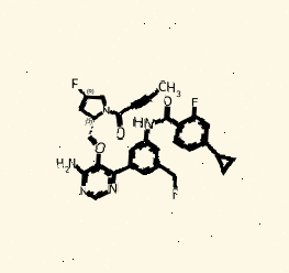 CC#CC(=O)N1C[C@H](F)C[C@H]1COc1c(N)ncnc1-c1cc(CF)cc(NC(=O)c2ccc(C3CC3)cc2F)c1